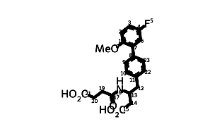 COc1ccc(F)cc1-c1ccc(CC(CC(=O)O)NC(=O)CCC(=O)O)cc1